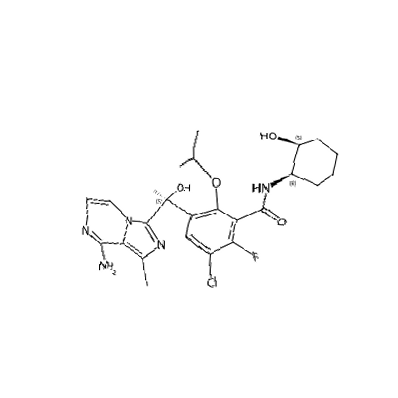 Cc1nc([C@@](C)(O)c2cc(Cl)c(F)c(C(=O)N[C@@H]3CCCC[C@@H]3O)c2OC(C)C)n2ccnc(N)c12